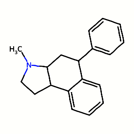 CN1CCC2c3ccccc3C(c3ccccc3)CC21